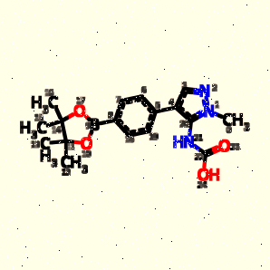 Cn1ncc(-c2ccc(B3OC(C)(C)C(C)(C)O3)cc2)c1NC(=O)O